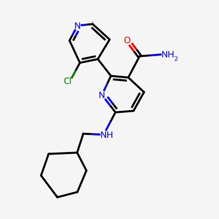 NC(=O)c1ccc(NCC2CCCCC2)nc1-c1c[c]ncc1Cl